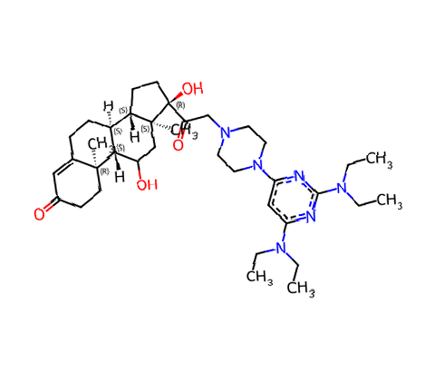 CCN(CC)c1cc(N2CCN(CC(=O)[C@@]3(O)CC[C@H]4[C@@H]5CCC6=CC(=O)CC[C@]6(C)[C@H]5C(O)C[C@@]43C)CC2)nc(N(CC)CC)n1